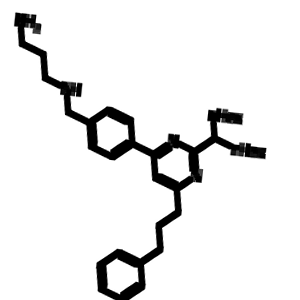 CCCCCCC(CCCCCC)c1nc(CCCc2ccccc2)cc(-c2ccc(CNCCCN)cc2)n1